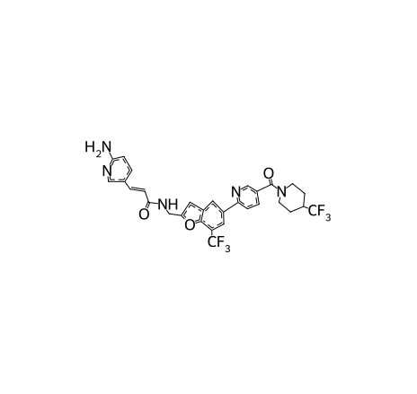 Nc1ccc(/C=C/C(=O)NCc2cc3cc(-c4ccc(C(=O)N5CCC(C(F)(F)F)CC5)cn4)cc(C(F)(F)F)c3o2)cn1